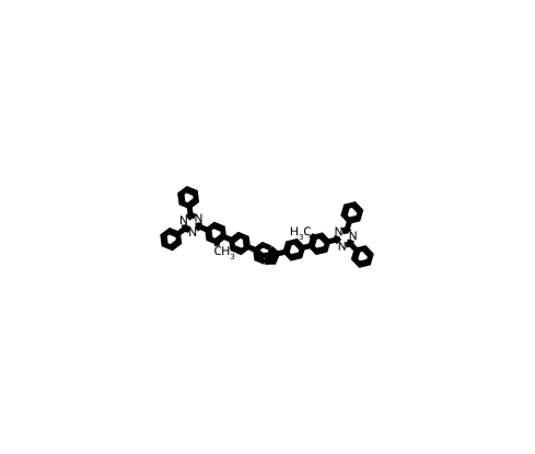 Cc1cc(-c2nc(-c3ccccc3)nc(-c3ccccc3)n2)ccc1-c1ccc(C23CC4CC(C2)C(c2ccc(-c5ccc(-c6nc(-c7ccccc7)nc(-c7ccccc7)n6)cc5C)cc2)(C4)C3)cc1